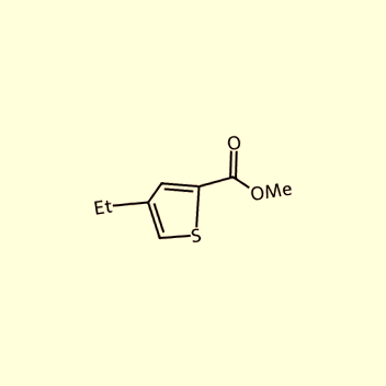 CCc1csc(C(=O)OC)c1